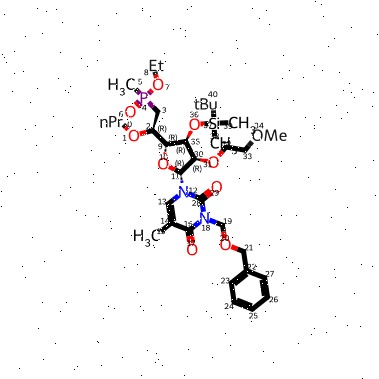 CCCO[C@@H](CP(C)(=O)OCC)[C@H]1O[C@@H](n2cc(C)c(=O)n(COCc3ccccc3)c2=O)[C@H](OCCOC)[C@@H]1O[Si](C)(C)C(C)(C)C